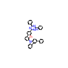 c1ccc(C2=NC(c3ccc4c(c3)oc3c(-n5c6ccccc6c6cc(-c7ccccc7)ccc65)cccc34)NC(c3ccccc3)=N2)cc1